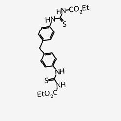 CCOC(=O)NC(=S)Nc1ccc(Cc2ccc(NC(=S)NC(=O)OCC)cc2)cc1